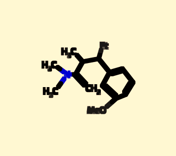 C=C(C(C)C(CC)c1cccc(OC)c1)N(C)C